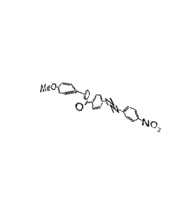 COc1ccc(OC(=O)c2ccc(N=Nc3ccc([N+](=O)[O-])cc3)cc2)cc1